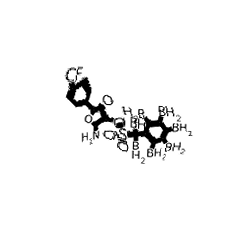 Bc1c(B)c(B)c(C(B)(B)S(=O)(=O)OC2=C(N)OC(c3ccc(C(F)(F)F)cc3)C2=O)c(B)c1B